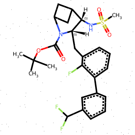 CC(C)(C)OC(=O)N1C2CC(C2)[C@H](NS(C)(=O)=O)[C@@H]1Cc1cccc(-c2cccc(C(F)F)c2)c1F